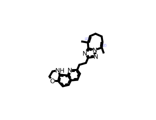 C/C1=C/CC/C=C(/C)n2nc(CCc3ccc4ccc5c(c4n3)NCCO5)nc21